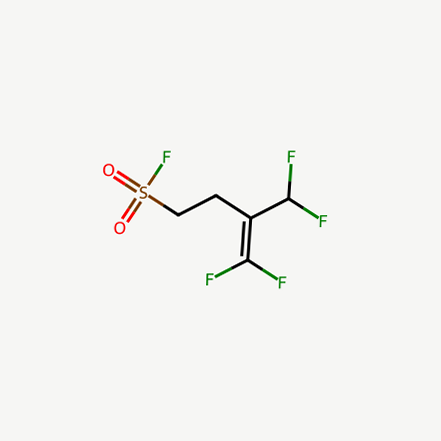 O=S(=O)(F)CCC(=C(F)F)C(F)F